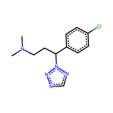 CN(C)CCC(c1ccc(Cl)cc1)n1ncnn1